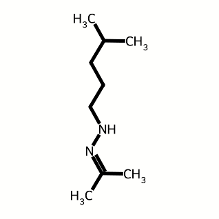 CC(C)=NNCCCC(C)C